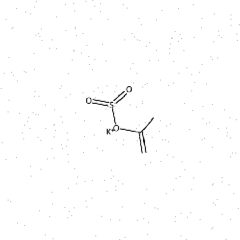 C=C(C)O[S-](=O)=O.[K+]